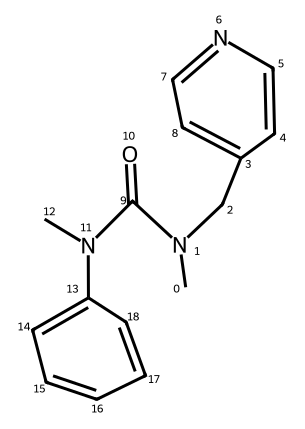 CN(Cc1ccncc1)C(=O)N(C)c1ccccc1